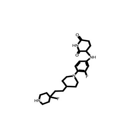 O=C1CCC(Nc2ccc(N3CCC(CCC4(F)CCNCC4)CC3)c(F)c2)C(=O)N1